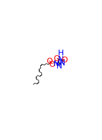 CC/C=C\C/C=C\C/C=C\C/C=C\C/C=C\CCCC(=O)OCn1cnc2c1c(=O)[nH]c(=O)n2C